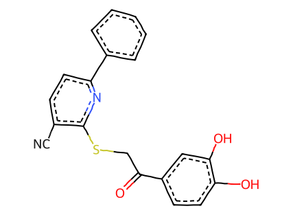 N#Cc1ccc(-c2ccccc2)nc1SCC(=O)c1ccc(O)c(O)c1